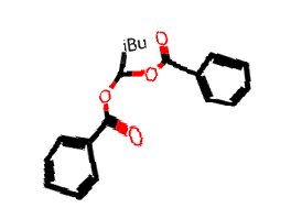 CCC(C)C(OC(=O)c1ccccc1)OC(=O)c1ccccc1